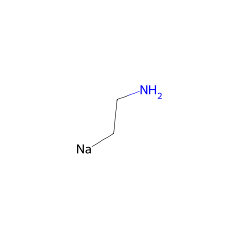 NC[CH2][Na]